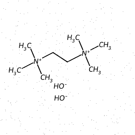 C[N+](C)(C)CC[N+](C)(C)C.[OH-].[OH-]